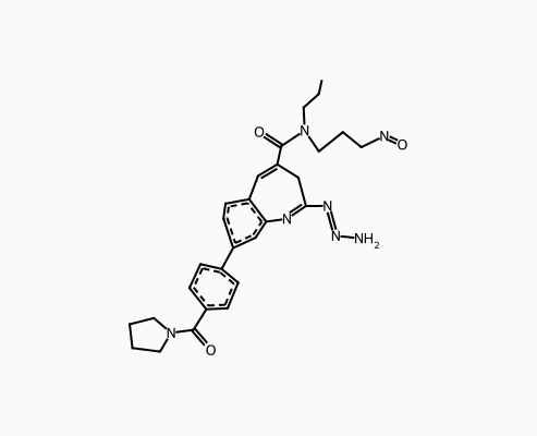 CCCN(CCCN=O)C(=O)C1=Cc2ccc(-c3ccc(C(=O)N4CCCC4)cc3)cc2N=C(N=NN)C1